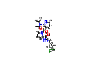 CCN(c1nc(C)ccc1S(=O)(=O)N1CCC[C@H]1C(=O)NCC1CC(F)(F)C1)C(C)C